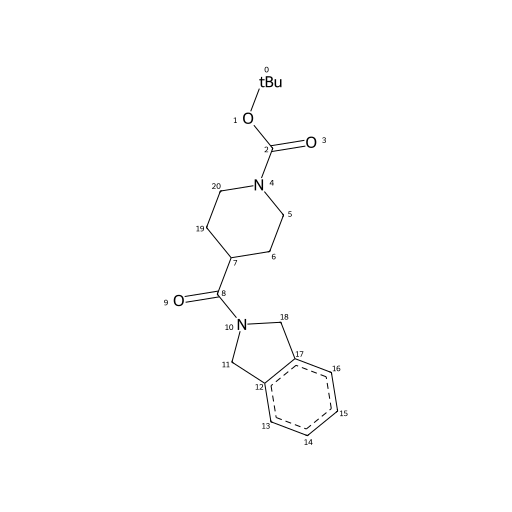 CC(C)(C)OC(=O)N1CCC(C(=O)N2Cc3ccccc3C2)CC1